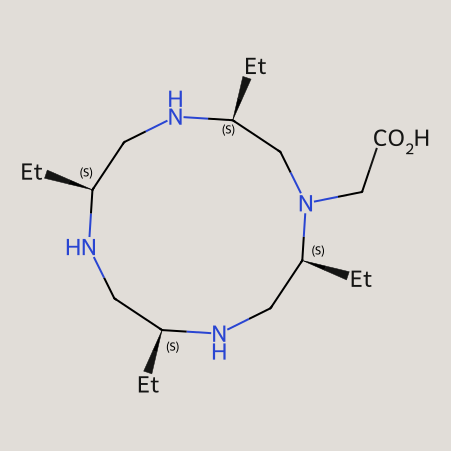 CC[C@H]1CN[C@@H](CC)CN(CC(=O)O)[C@@H](CC)CN[C@@H](CC)CN1